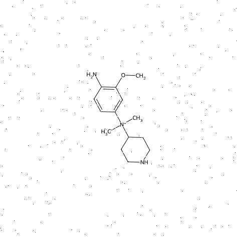 COc1cc([N+](C)(C)C2CCNCC2)ccc1N